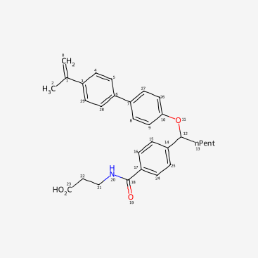 C=C(C)c1ccc(-c2ccc(OC(CCCCC)c3ccc(C(=O)NCCC(=O)O)cc3)cc2)cc1